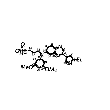 CCn1cc(-c2cnc3ccc(N(CCCO[SH](=O)=O)c4cc(OC)cc(OC)c4)cc3n2)cn1